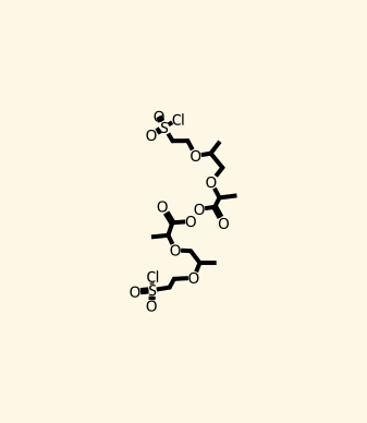 CC(COC(C)C(=O)OOC(=O)C(C)OCC(C)OCCS(=O)(=O)Cl)OCCS(=O)(=O)Cl